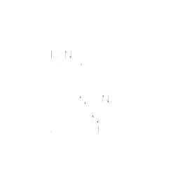 Nc1cccc(C2N=C(c3ccccc3)NC(c3ccccc3)N2)c1